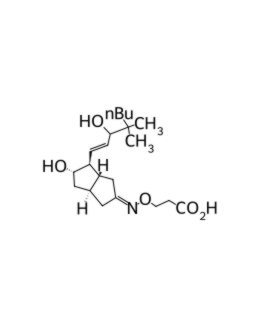 CCCCC(C)(C)C(O)C=C[C@H]1[C@@H]2C/C(=N\OCCC(=O)O)C[C@H]2C[C@@H]1O